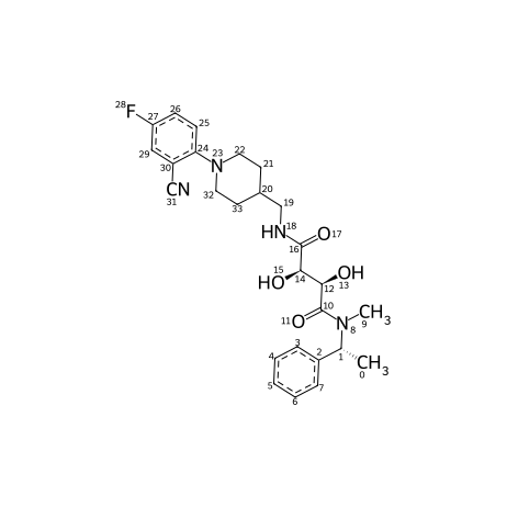 C[C@H](c1ccccc1)N(C)C(=O)[C@H](O)[C@@H](O)C(=O)NCC1CCN(c2ccc(F)cc2C#N)CC1